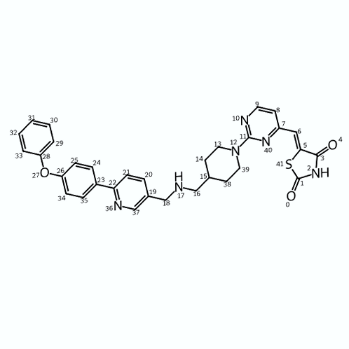 O=C1NC(=O)C(=Cc2ccnc(N3CCC(CNCc4ccc(-c5ccc(Oc6ccccc6)cc5)nc4)CC3)n2)S1